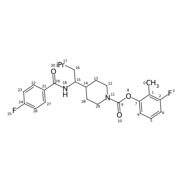 Cc1c(F)cccc1OC(=O)N1CCC(C(CC(C)C)NC(=O)c2ccc(F)cc2)CC1